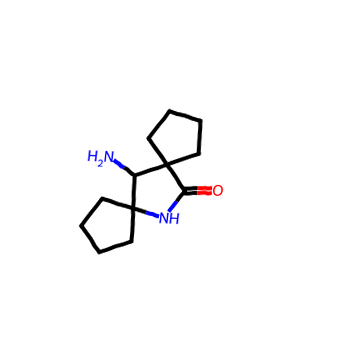 NC1C2(CCCC2)NC(=O)C12CCCC2